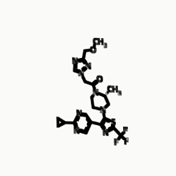 COCc1ncn(CC(=O)N2CCN(c3sc(C(F)(F)F)nc3-c3cnc(C4CC4)nc3)C[C@H]2C)n1